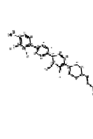 C/C=C/CCC1CCC(c2ccc(-c3ccc(-c4ccc(O)c(F)c4F)cc3)c(F)c2F)CC1